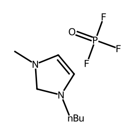 CCCCN1C=CN(C)C1.O=P(F)(F)F